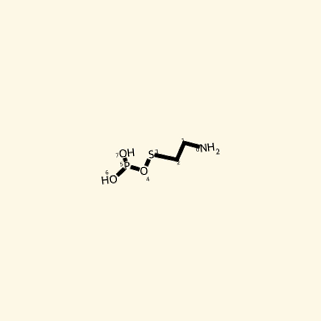 NCCSOP(O)O